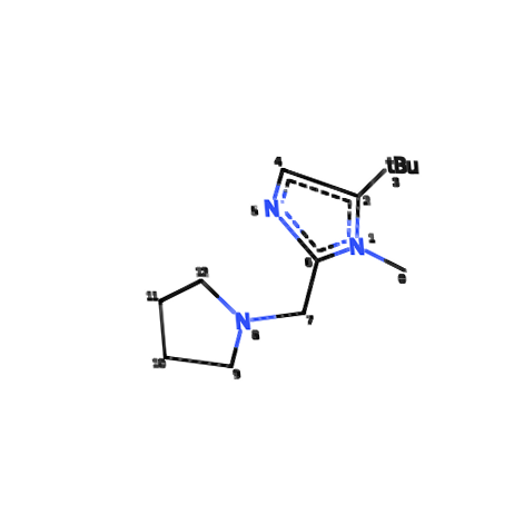 Cn1c(C(C)(C)C)cnc1CN1CCCC1